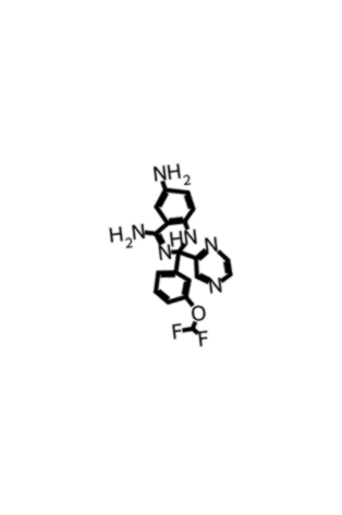 NC1=NC(c2cccc(OC(F)F)c2)(c2cnccn2)Nc2ccc(N)cc21